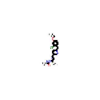 CCOc1ccc(Cc2ccc(/C=C/[C@H](C)NC(C)=O)cn2)c(Cl)c1